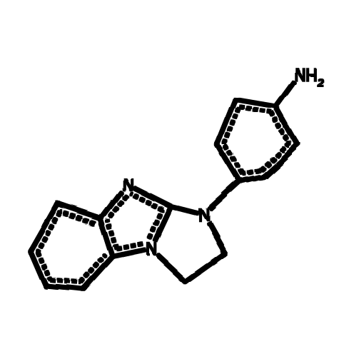 Nc1ccc(N2CCn3c2nc2ccccc23)cc1